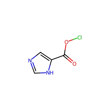 O=C(OCl)c1cnc[nH]1